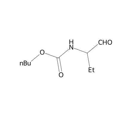 CCCCOC(=O)NC(C=O)CC